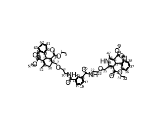 CCOC(=O)C1=C(COCCNC(=O)c2cccc(C(=O)NCCOCC3=C(C(=O)OCC)C(c4ccccc4Cl)C(C(=O)OC)=C(C)N3)c2)CC(C)=C(C(=O)OC)C1c1ccccc1Cl